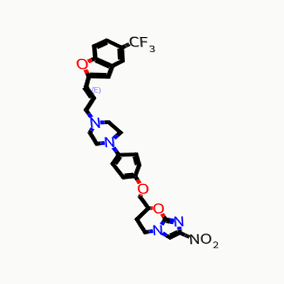 O=[N+]([O-])c1cn2c(n1)OC(COc1ccc(N3CCN(C/C=C/c4cc5cc(C(F)(F)F)ccc5o4)CC3)cc1)CC2